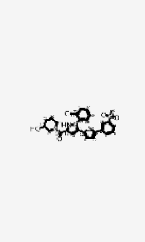 CS(=O)(=O)c1cccc(-c2ccc(C3=CC(C(=O)N4CCCC(O)C4)NN3c3ccccc3Cl)s2)c1